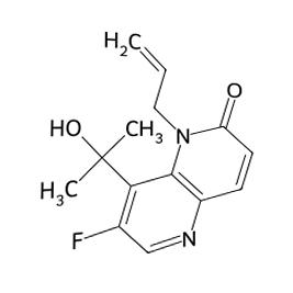 C=CCn1c(=O)ccc2ncc(F)c(C(C)(C)O)c21